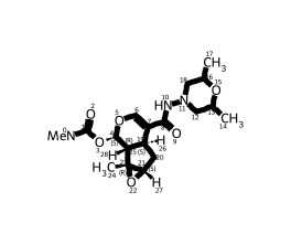 CNC(=O)O[C@@H]1OC=C(C(=O)NN2CC(C)OC(C)C2)[C@H]2C[C@@H]3O[C@]3(C)[C@H]12